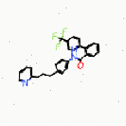 O=C(Nc1ccc(CCCc2ccccn2)cc1)c1ccccc1-c1ccc(C(F)(F)F)cc1